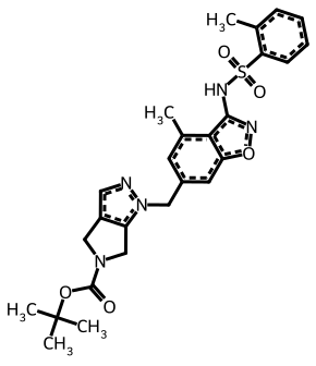 Cc1ccccc1S(=O)(=O)Nc1noc2cc(Cn3ncc4c3CN(C(=O)OC(C)(C)C)C4)cc(C)c12